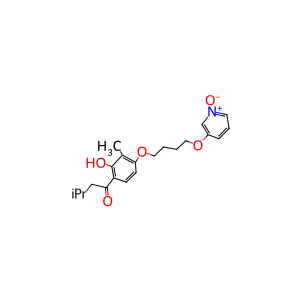 Cc1c(OCCCCOc2ccc[n+]([O-])c2)ccc(C(=O)CC(C)C)c1O